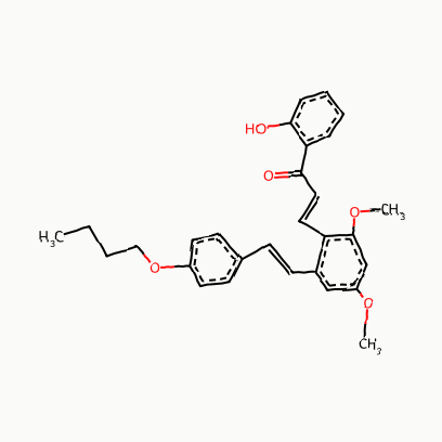 CCCCOc1ccc(/C=C/c2cc(OC)cc(OC)c2/C=C/C(=O)c2ccccc2O)cc1